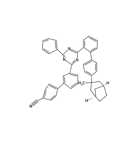 CC1(c2ccc(-c3ccccc3-c3nc(-c4ccccc4)nc(-c4cccc(-c5ccc(C#N)cc5)c4)n3)cc2)C[C@@H]2CC[C@@H](C2)C1